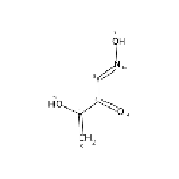 C=C(O)C(=O)C=NO